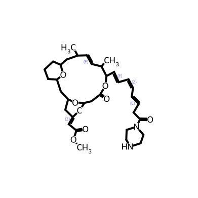 COC(=O)/C=C1\CC2CC(=O)OC(/C=C/C=C\C=C\CC(=O)N3CCNCC3)C(C)/C=C/C(C)CC3CCCC(CC(C1)O2)O3